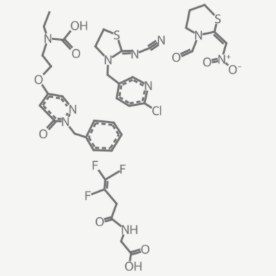 CCN(CCOc1cnn(Cc2ccccc2)c(=O)c1)C(=O)O.N#CN=C1SCCN1Cc1ccc(Cl)nc1.O=C(O)CNC(=O)CC(F)=C(F)F.O=CN1CCCSC1=C[N+](=O)[O-]